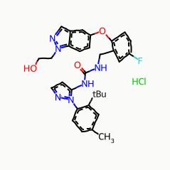 Cc1ccc(-n2nccc2NC(=O)NCc2cc(F)ccc2Oc2ccc3c(cnn3CCO)c2)c(C(C)(C)C)c1.Cl